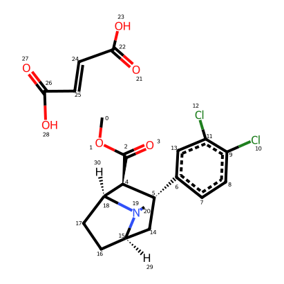 COC(=O)[C@H]1[C@H](c2ccc(Cl)c(Cl)c2)C[C@H]2CC[C@@H]1N2C.O=C(O)C=CC(=O)O